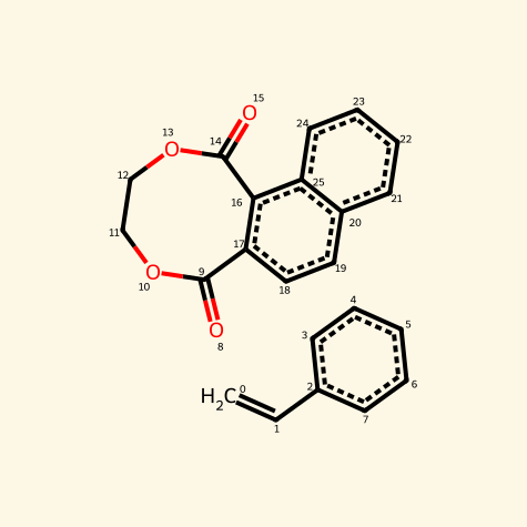 C=Cc1ccccc1.O=C1OCCOC(=O)c2c1ccc1ccccc21